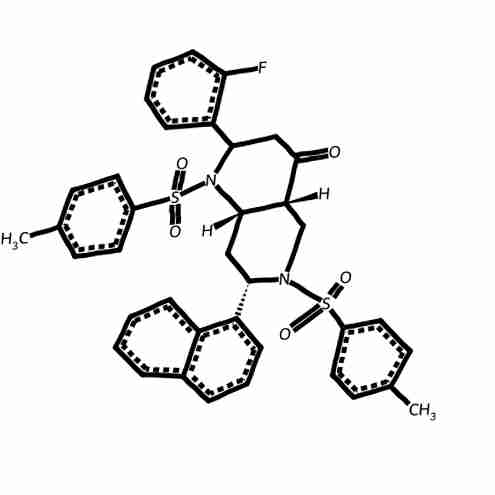 Cc1ccc(S(=O)(=O)N2C[C@H]3C(=O)CC(c4ccccc4F)N(S(=O)(=O)c4ccc(C)cc4)[C@H]3C[C@H]2c2cccc3ccccc23)cc1